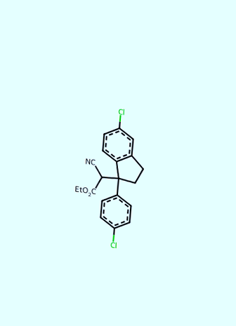 CCOC(=O)C(C#N)C1(c2ccc(Cl)cc2)CCc2cc(Cl)ccc21